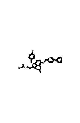 CC(C#N)OCCc1c2c3c(c(OCc4ccc(-c5ccccc5)cn4)ccc3n1Cc1ccc(Cl)cc1)CC(C)S2